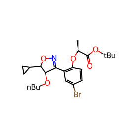 CCCCOC1C(c2cc(Br)ccc2O[C@@H](C)C(=O)OC(C)(C)C)=NOC1C1CC1